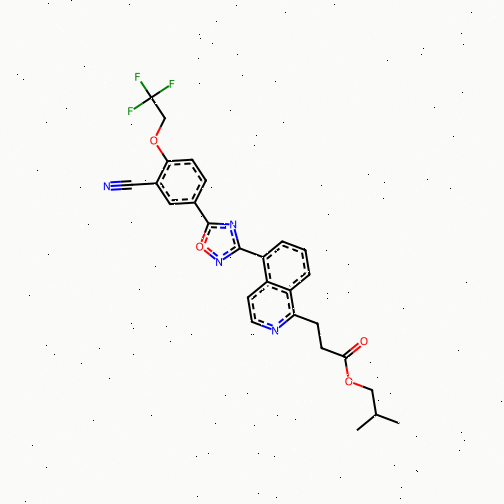 CC(C)COC(=O)CCc1nccc2c(-c3noc(-c4ccc(OCC(F)(F)F)c(C#N)c4)n3)cccc12